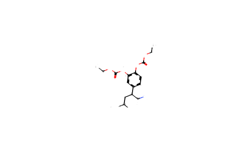 CCC(C)COC(=O)Oc1ccc(C(CC(C)OC(C)=O)[C@H](N)C(=O)O)cc1OC(=O)OCC(C)CC